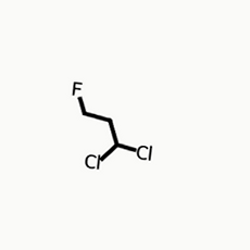 FCCC(Cl)Cl